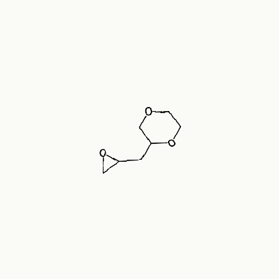 C1COC(CC2CO2)CO1